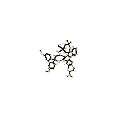 COc1ccc(C2(c3ccc(OC)cc3)C=Cc3c4c(c5cc6c(cc5c3O2)OC(N(C)C)CO6)-c2ccccc2C42CC(C)(C)CC(C)(C)C2)cc1